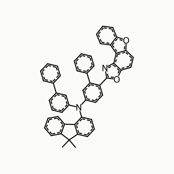 CC1(C)c2ccccc2-c2c(N(c3cccc(-c4ccccc4)c3)c3ccc(-c4nc5c(ccc6oc7ccccc7c65)o4)c(-c4ccccc4)c3)cccc21